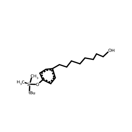 CC(C)(C)[Si](C)(C)Oc1ccc(CCCCCCCCO)cc1